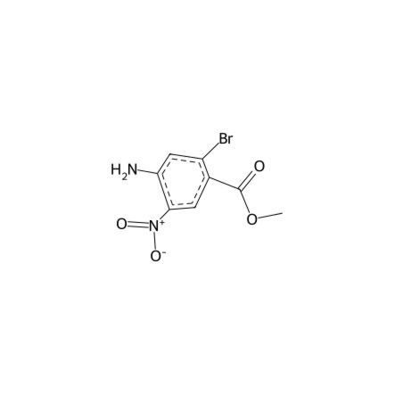 COC(=O)c1cc([N+](=O)[O-])c(N)cc1Br